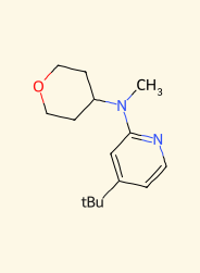 CN(c1cc(C(C)(C)C)ccn1)C1CCOCC1